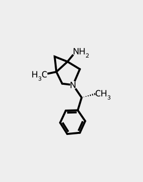 C[C@H](c1ccccc1)N1CC2(C)CC2(N)C1